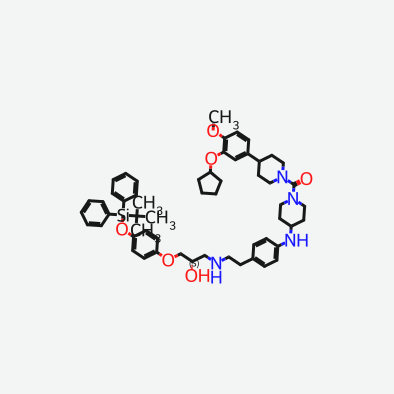 COc1ccc(C2CCN(C(=O)N3CCC(Nc4ccc(CCNC[C@H](O)COc5ccc(O[Si](c6ccccc6)(c6ccccc6)C(C)(C)C)cc5)cc4)CC3)CC2)cc1OC1CCCC1